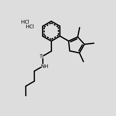 CCCC[NH][Ti][CH2]c1ccccc1C1=C(C)C(C)=C(C)C1.Cl.Cl